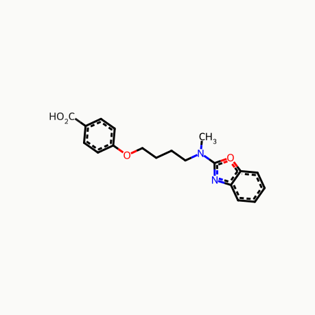 CN(CCCCOc1ccc(C(=O)O)cc1)c1nc2ccccc2o1